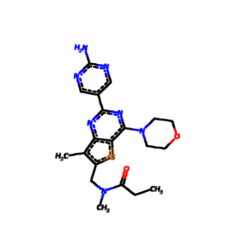 CCC(=O)N(C)Cc1sc2c(N3CCOCC3)nc(-c3cnc(N)nc3)nc2c1C